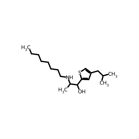 CCCCCCCCNC(C)C(O)c1cc(CC(C)C)cs1